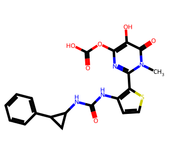 Cn1c(-c2sccc2NC(=O)NC2CC2c2ccccc2)nc(OC(=O)O)c(O)c1=O